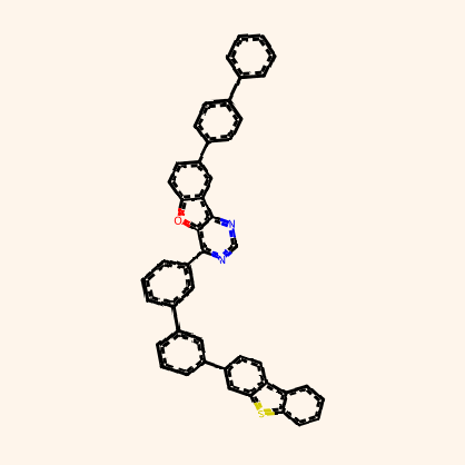 c1ccc(-c2ccc(-c3ccc4oc5c(-c6cccc(-c7cccc(-c8ccc9c(c8)sc8ccccc89)c7)c6)ncnc5c4c3)cc2)cc1